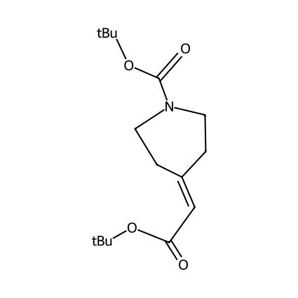 CC(C)(C)OC(=O)C=C1CCN(C(=O)OC(C)(C)C)CC1